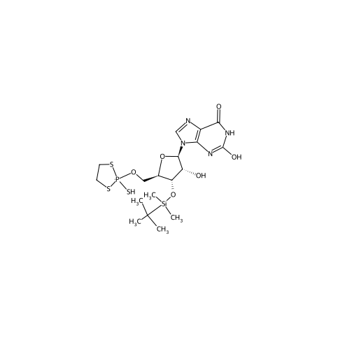 CC(C)(C)[Si](C)(C)O[C@H]1[C@@H](O)[C@H](n2cnc3c(=O)[nH]c(O)nc32)O[C@@H]1CO[P]1(S)SCCS1